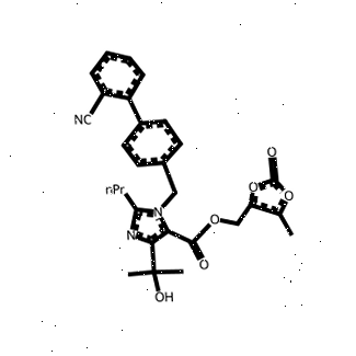 CCCc1nc(C(C)(C)O)c(C(=O)OCc2oc(=O)oc2C)n1Cc1ccc(-c2ccccc2C#N)cc1